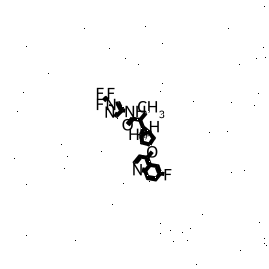 CCC(C(=O)Nc1cnn(C(F)(F)F)c1)C1[C@H]2CC(Oc3ccnc4ccc(F)cc34)C[C@@H]12